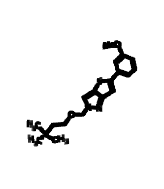 COc1cccc(-c2cc3nn(COCC[Si](C)(C)C)cc3s2)c1